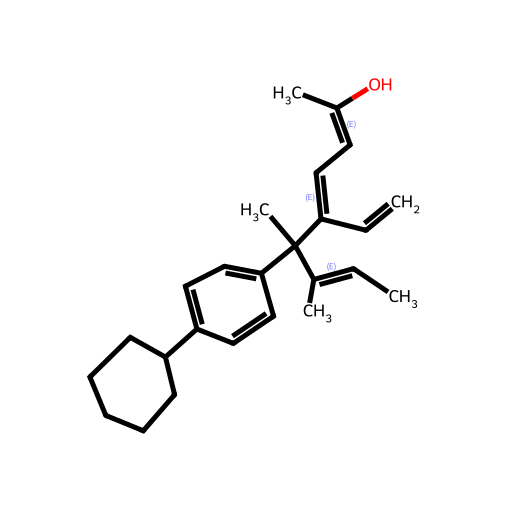 C=C/C(=C\C=C(/C)O)C(C)(/C(C)=C/C)c1ccc(C2CCCCC2)cc1